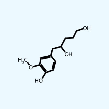 COc1cc(CC(O)CCCO)ccc1O